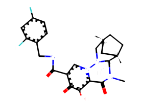 CN1C(=O)c2c(O)c(=O)c(C(=O)NCc3ccc(F)cc3F)cn2N2C[C@@H]3CC[C@@H](C3)[C@@H]12